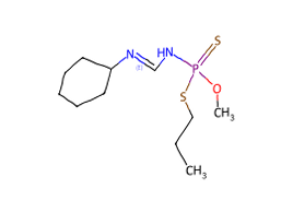 CCCSP(=S)(N/C=N/C1CCCCC1)OC